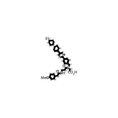 CC[C@H]1CC[C@H](C2CC=C(c3cnc(-c4ccc(CN(CC(=O)O)C(=O)CCNC(=O)Cc5ccc(OC)cc5)cc4)nc3)CC2)CC1